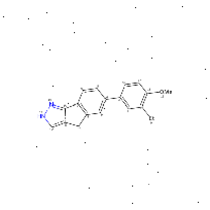 CCc1cc(-c2ccc3c(c2)Cc2c[nH]nc2-3)ccc1OC